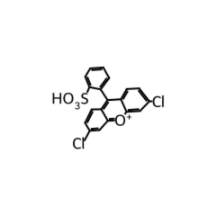 O=S(=O)(O)c1ccccc1-c1c2ccc(Cl)cc2[o+]c2cc(Cl)ccc12